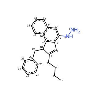 CCCCC1=Cc2c(NN)cc3ccccc3c2C1Cc1ccccc1